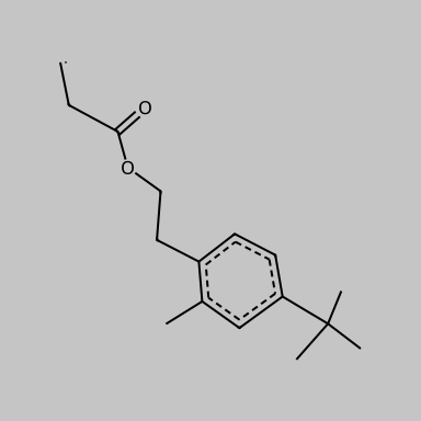 [CH2]CC(=O)OCCc1ccc(C(C)(C)C)cc1C